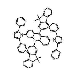 CC1(C)c2ccccc2-c2ccc(-c3c4ccc(-n5c(-c6ccccc6)ccc5-c5ccccc5)cc4c(-c4ccc5c(c4)C(C)(C)c4ccccc4-5)c4ccc(-n5c(C6=CCCC=C6)ccc5-c5ccccc5)cc34)cc21